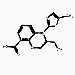 Cc1cnc(N2c3cccc(C(=O)O)c3OC[C@@H]2CO)s1